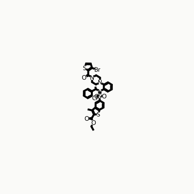 CCOC(=O)c1sc2ccc(S(=O)(=O)N(c3ccccc3N3CCN(C(=O)c4sccc4Br)CC3)C(C)c3ccccc3Cl)cc2c1C